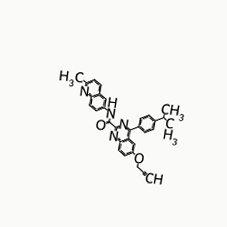 C#CCOc1ccc2nc(C(=O)Nc3ccc4nc(C)ccc4c3)nc(-c3ccc(C(C)C)cc3)c2c1